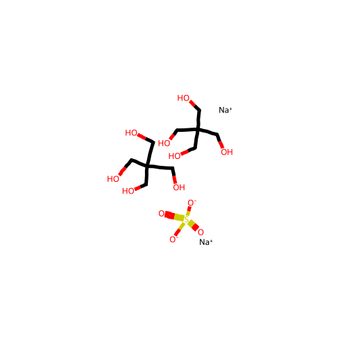 O=S(=O)([O-])[O-].OCC(CO)(CO)CO.OCC(CO)(CO)CO.[Na+].[Na+]